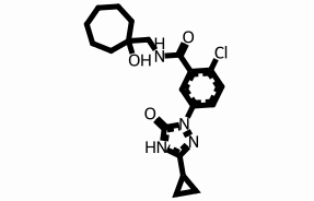 O=C(NCC1(O)CCCCCC1)c1cc(-n2nc(C3CC3)[nH]c2=O)ccc1Cl